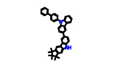 CC1(C)c2cc3[nH]c4ccc(-c5ccc6c(c5)c5ccccc5n6-c5ccc(-c6ccccc6)cc5)cc4c3cc2C(C)(C)C1(C)C